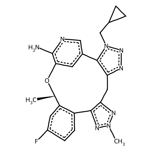 C[C@H]1Oc2cc(cnc2N)-c2c(nnn2CC2CC2)Cc2nn(C)nc2-c2ccc(F)cc21